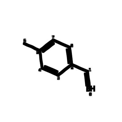 B=Cc1ccc(C)cc1